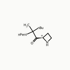 CCCCCC(C)(CCCC)C(=O)[C@H]1CCN1